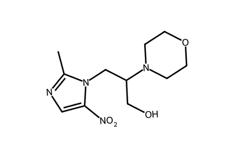 Cc1ncc([N+](=O)[O-])n1CC(CO)N1CCOCC1